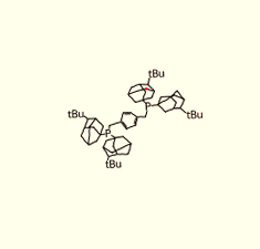 CC(C)(C)C1C2CC3CC1CC(P(Cc1ccc(CP(C45CC6CC(C4)C(C(C)(C)C)C(C6)C5)C45CC6CC(C4)C(C(C)(C)C)C(C6)C5)cc1)C14CC5CC(C1)C(C(C)(C)C)C(C5)C4)(C3)C2